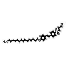 CCCCCCCCCCCCCCCCOc1ccc(C=Cc2ccc(S(=O)(=O)CCCO)cc2)cc1